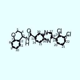 O=C(NC1CCOc2ccccc21)c1ccc2nc(-c3cccc(Cl)c3Cl)cnc2c1